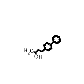 CC(O)CCc1ccc(-c2ccccc2)cc1